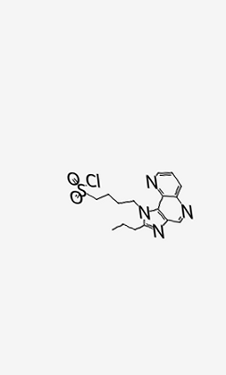 CCCc1nc2cnc3cccnc3c2n1CCCCS(=O)(=O)Cl